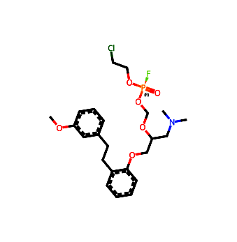 COc1cccc(CCc2ccccc2OCC(CN(C)C)OCO[P@](=O)(F)OCCCl)c1